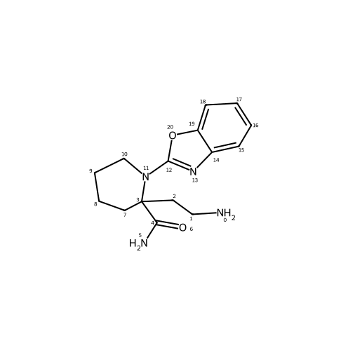 NCCC1(C(N)=O)CCCCN1c1nc2ccccc2o1